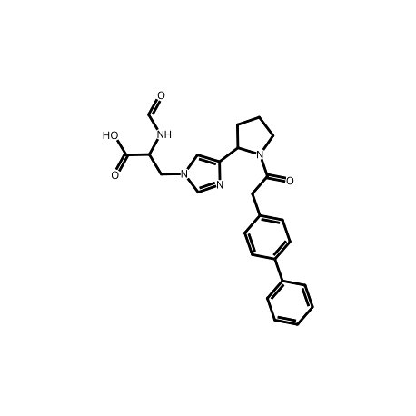 O=CNC(Cn1cnc(C2CCCN2C(=O)Cc2ccc(-c3ccccc3)cc2)c1)C(=O)O